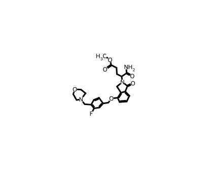 COC(=O)CCC(C(N)=O)N1Cc2c(OCc3ccc(CN4CCOCC4)c(F)c3)cccc2C1=O